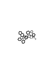 CC1(C)c2ccccc2Oc2cccc(-c3ccc4c(c3)C3(c5ccccc5-4)c4ccccc4-c4c3ccc3ccccc43)c21